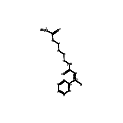 COC(=O)CCCCCNC(=O)/C=C(/C)c1ccccc1